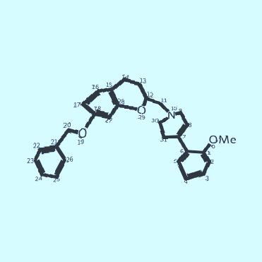 COc1ccccc1C1=CCN(CC2CCc3ccc(OCc4ccccc4)cc3O2)CC1